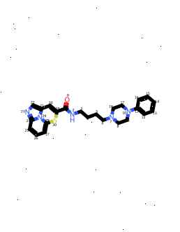 O=C(NCCCCN1CCN(c2ccccc2)CC1)C1=Cc2cnc3cccc(n23)S1